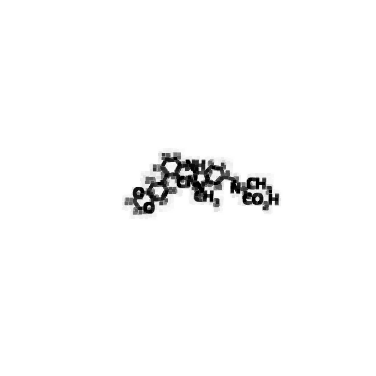 C[C@H](N=Cc1ccc2c(Nc3cccc(-c4ccc5c(c4)OCCO5)c3Cl)nn(C)c2c1)C(=O)O